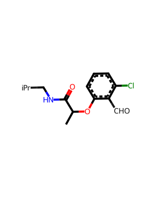 CC(C)CNC(=O)C(C)Oc1cccc(Cl)c1C=O